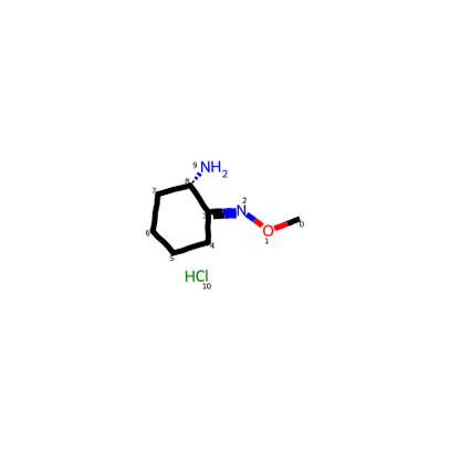 CO/N=C1\CCCC[C@@H]1N.Cl